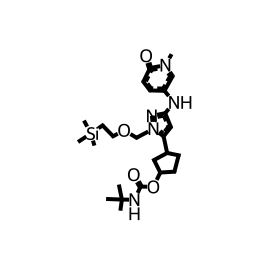 Cn1cc(Nc2cc(C3CCC(OC(=O)NC(C)(C)C)C3)n(COCC[Si](C)(C)C)n2)ccc1=O